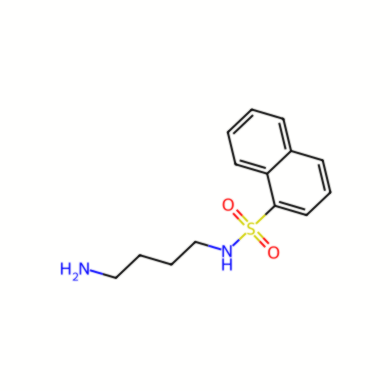 NCCCCNS(=O)(=O)c1cccc2ccccc12